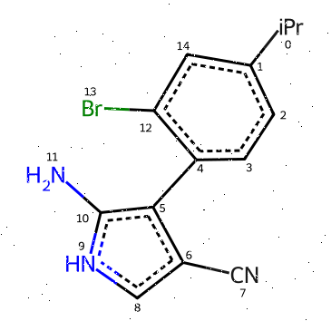 CC(C)c1ccc(-c2c(C#N)c[nH]c2N)c(Br)c1